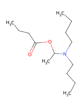 CCCCN(CCCC)C(C)OC(=O)CCC